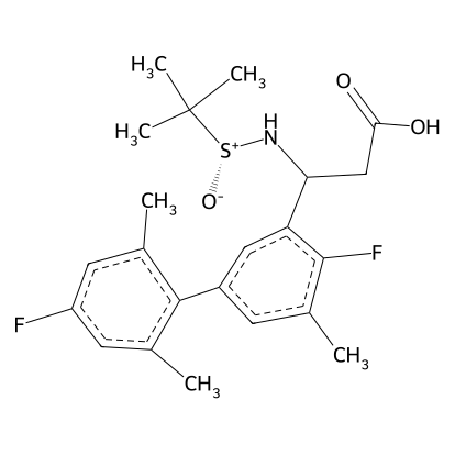 Cc1cc(-c2c(C)cc(F)cc2C)cc(C(CC(=O)O)N[S@+]([O-])C(C)(C)C)c1F